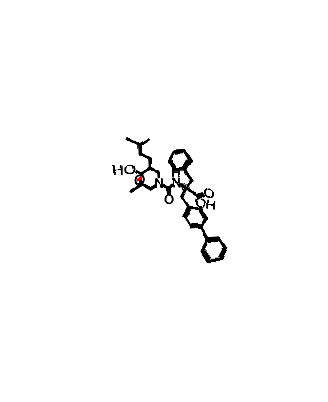 CC(C)CCC(CN(CC(C)C)C(=O)N[C@@](Cc1ccccc1)(Cc1ccc(-c2ccccc2)cc1)C(=O)O)C(=O)O